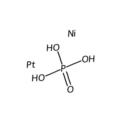 O=P(O)(O)O.[Ni].[Pt]